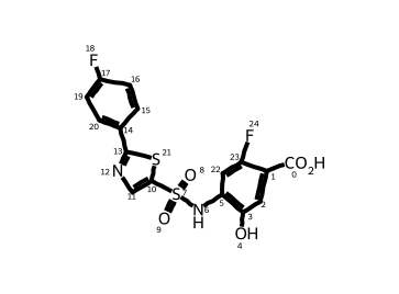 O=C(O)c1cc(O)c(NS(=O)(=O)c2cnc(-c3ccc(F)cc3)s2)cc1F